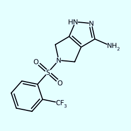 Nc1n[nH]c2c1CN(S(=O)(=O)c1ccccc1C(F)(F)F)C2